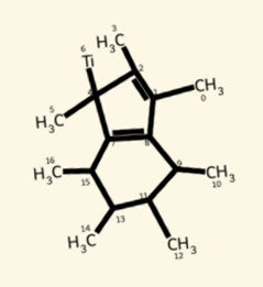 CC1=C(C)[C](C)([Ti])C2=C1C(C)C(C)C(C)C2C